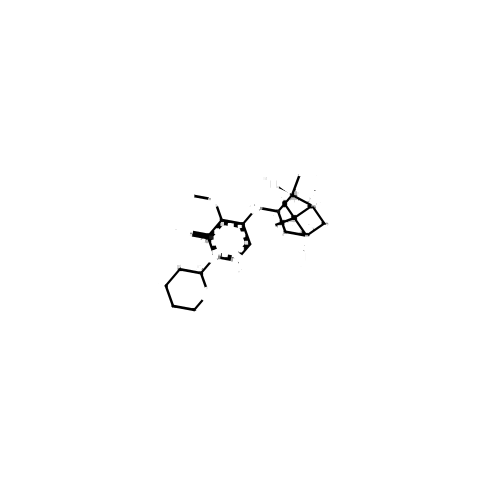 COc1c(NC2C[C@@H]3C[C@H]([C@H]2C)C3(C)C)cnn(C2CCCCO2)c1=O